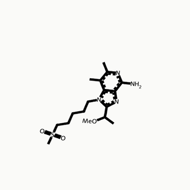 COC(C)c1nc2c(N)nc(C)c(C)c2n1CCCCCS(C)(=O)=O